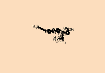 CCCCCCCOc1ccc(-c2cnc(-c3ccc(C[C@H](NC(=O)c4ccc(C(C)(C)C)s4)C(=O)NC4CCCC(C(O)O)C4)cc3)nc2)cc1